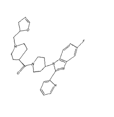 O=C(C1CCN(CC2CC=CO2)CC1)N1CCC(n2c(-c3ccccn3)nc3cc(F)ccc32)CC1